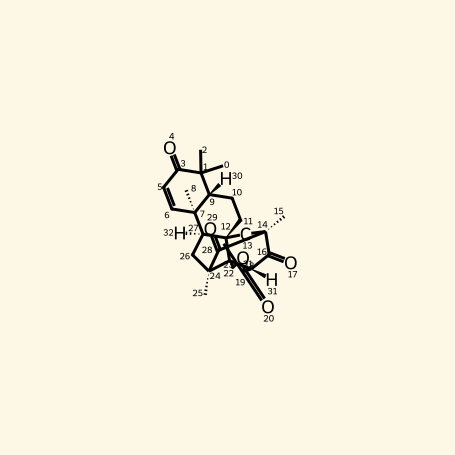 CC1(C)C(=O)C=C[C@@]2(C)[C@H]1CC[C@@]13C[C@@]4(C)C(=O)[C@@H]5C(=O)OC[C@]51[C@@](C)(C[C@@H]23)C4=O